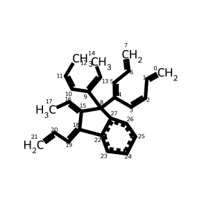 C=C/C=C\C(=C/C=C)C1(C(/C=C\C)=C/C)C(=C/C)/C(=C\C=C)c2ccccc21